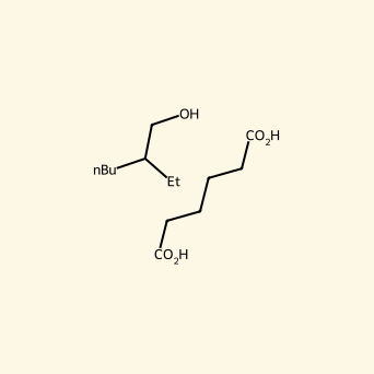 CCCCC(CC)CO.O=C(O)CCCCC(=O)O